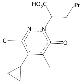 Cc1c(C2CC2)c(Cl)nn(C(CC(C)C)C(=O)O)c1=O